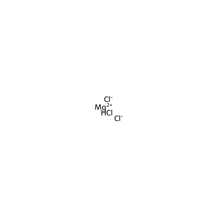 Cl.[Cl-].[Cl-].[Mg+2]